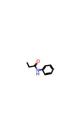 CCC(=O)Nc1c[c][c]cc1